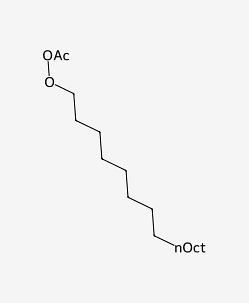 CCCCCCCCCCCCCCCCOOC(C)=O